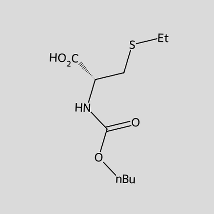 CCCCOC(=O)N[C@@H](CSCC)C(=O)O